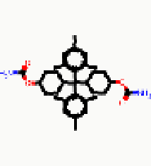 Cc1cc(C)c(C(c2c(C)cc(C)cc2C)(C2CCC(OC(N)=O)CC2)C2CCC(OC(N)=O)CC2)c(C)c1